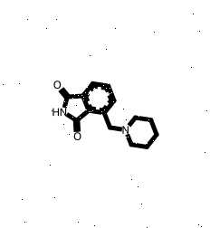 O=C1NC(=O)c2c(CN3CCCCC3)cccc21